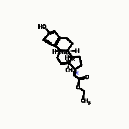 CCOC(=O)/C=C1\CC[C@H]2[C@@H]3CCc4cc(O)ccc4[C@H]3CC[C@]12C